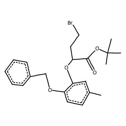 Cc1ccc(OCc2ccccc2)c(OC(CCBr)C(=O)OC(C)(C)C)c1